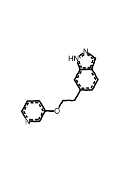 [c]1n[nH]c2cc(CCOc3cccnc3)ccc12